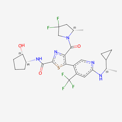 C[C@H](Nc1cc(C(F)(F)F)c(-c2sc(C(=O)N[C@@H]3CCC[C@@H]3O)nc2C(=O)N2CC(F)(F)C[C@@H]2C)cn1)C1CC1